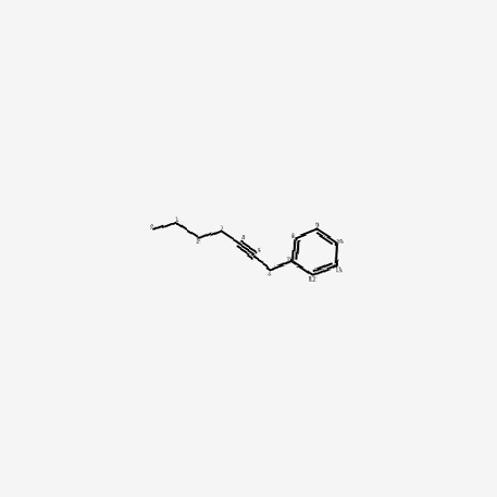 CCCCC#C[CH]c1ccccc1